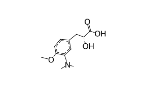 COc1ccc(C[C@@H](O)C(=O)O)cc1N(C)C